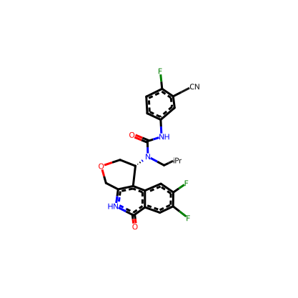 CC(C)CN(C(=O)Nc1ccc(F)c(C#N)c1)[C@H]1COCc2[nH]c(=O)c3cc(F)c(F)cc3c21